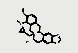 COc1ccc2c(c1OC)C[N+]1(CC3CC3)CCc3cc4c(cc3C1C2)OCO4.[Br-]